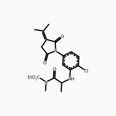 CCOC(=O)N(C)C(=O)C(C)Nc1cc(N2C(=O)CC(=C(C)C)C2=O)ccc1Cl